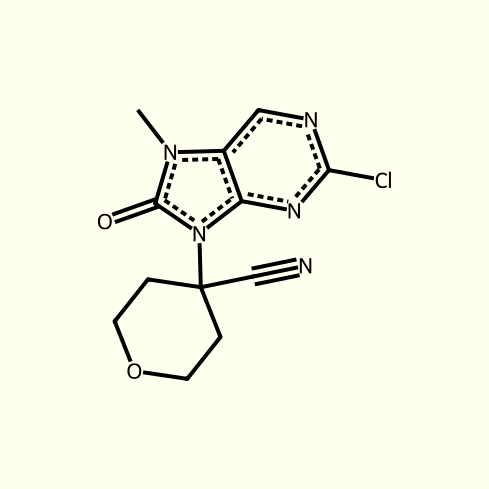 Cn1c(=O)n(C2(C#N)CCOCC2)c2nc(Cl)ncc21